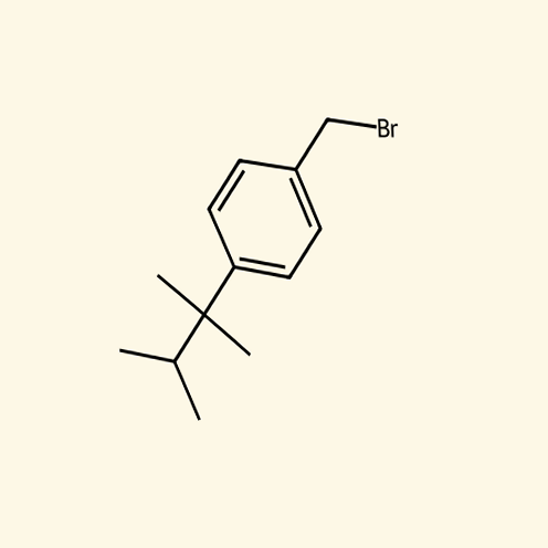 CC(C)C(C)(C)c1ccc(CBr)cc1